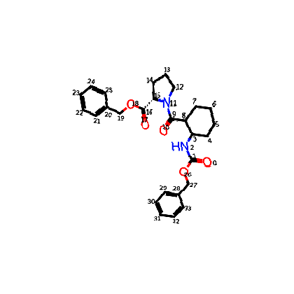 O=C(NC1CCCCC1C(=O)N1CCC[C@H]1C(=O)OCc1ccccc1)OCc1ccccc1